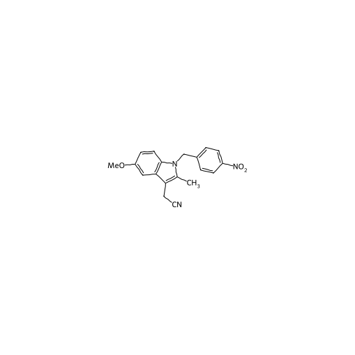 COc1ccc2c(c1)c(CC#N)c(C)n2Cc1ccc([N+](=O)[O-])cc1